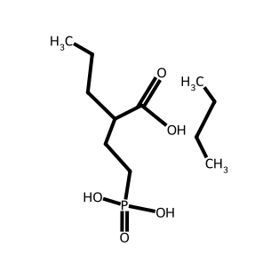 CCCC.CCCC(CCP(=O)(O)O)C(=O)O